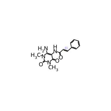 Cn1c(N)c(NC(=O)/C=C/c2ccccc2)c(=O)n(C)c1=O